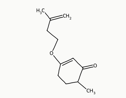 C=C(C)CCOC1=CC(=O)C(C)CC1